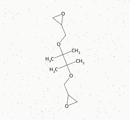 CC(C)(OCC1CO1)C(C)(C)OCC1CO1